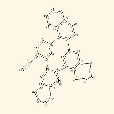 N#Cc1ccc(-c2c(-c3cc(-c4ncc5ccccc5n4)c4ccccc4c3)ccc3ccccc23)cc1